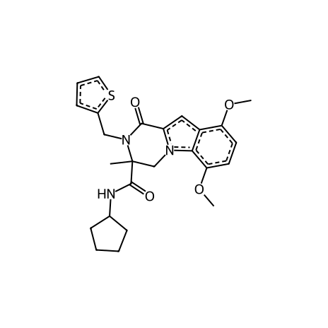 COc1ccc(OC)c2c1cc1n2CC(C)(C(=O)NC2CCCC2)N(Cc2cccs2)C1=O